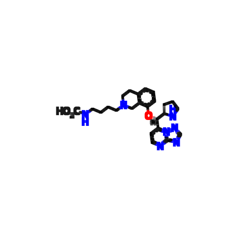 O=C(O)NCCCCN1CCc2cccc(O[C@@H](c3ccnc4ncnn34)C3CCCN3)c2C1